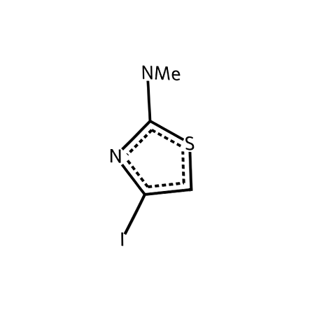 CNc1nc(I)cs1